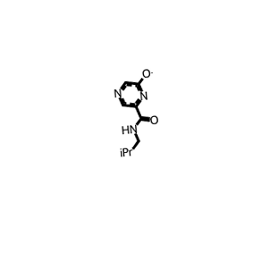 CC(C)CNC(=O)c1cncc([O])n1